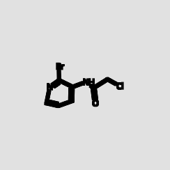 O=C(CCl)Nc1cccnc1Br